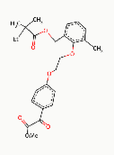 CCC(C)(C)C(=O)OCc1cccc(C)c1OCCOc1ccc(C(=O)C(=O)OC)cc1